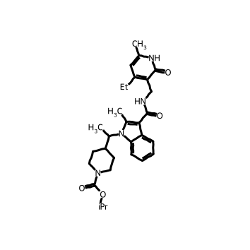 CCc1cc(C)[nH]c(=O)c1CNC(=O)c1c(C)n(C(C)C2CCN(C(=O)OC(C)C)CC2)c2ccccc12